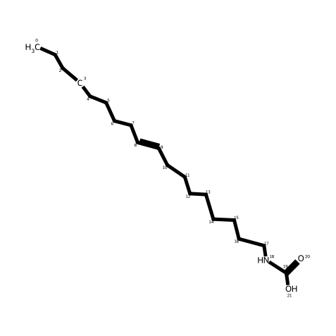 CCCCCCCCC=CCCCCCCCCNC(=O)O